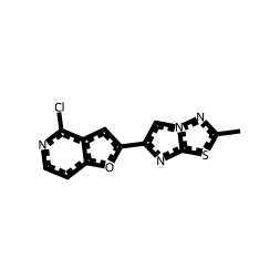 Cc1nn2cc(-c3cc4c(Cl)nccc4o3)nc2s1